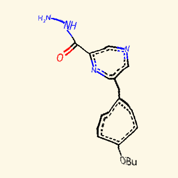 CC(C)COc1ccc(-c2cncc(C(=O)NN)n2)cc1